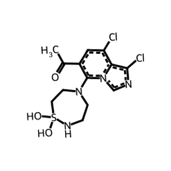 CC(=O)c1cc(Cl)c2c(Cl)ncn2c1N1CCNS(O)(O)CC1